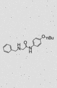 CCCCOc1ccc(NC(=O)CNCc2ccccc2)cc1